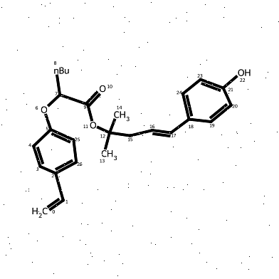 C=Cc1ccc(OC(CCCC)C(=O)OC(C)(C)CC=Cc2ccc(O)cc2)cc1